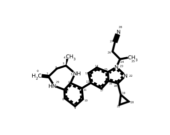 C=C1C[C@@H](C)Nc2c(cccc2-c2ccc3c(c2)c(C2CC2)nn3C(C)CC#N)N1